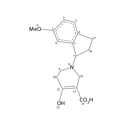 COc1ccc2c(c1)C(N1CCC(O)=C(C(=O)O)C1)CC2